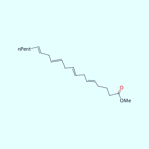 CCCCCC=CCC=CCC=CCC=CCCCC(=O)OC